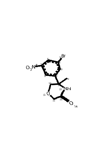 CC1(c2cc(Br)cc([N+](=O)[O-])c2)COCC(=O)N1